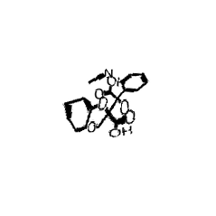 CC#N.COC(C(=O)O)(c1ccccc1)C(C=O)(Oc1ccccc1)C(=O)O